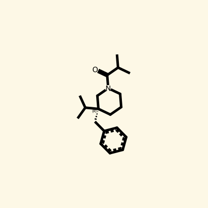 CC(C)C(=O)N1CCC[C@@](Cc2ccccc2)(C(C)C)C1